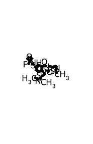 Cc1ncc(Cn2c(=O)c3cc(SNC4(CF)COC4)ccc3n(Cc3sc(C)nc3C)c2=O)s1